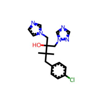 CC(C)(Cc1ccc(Cl)cc1)C(O)(Cn1ccnc1)Cn1cncn1